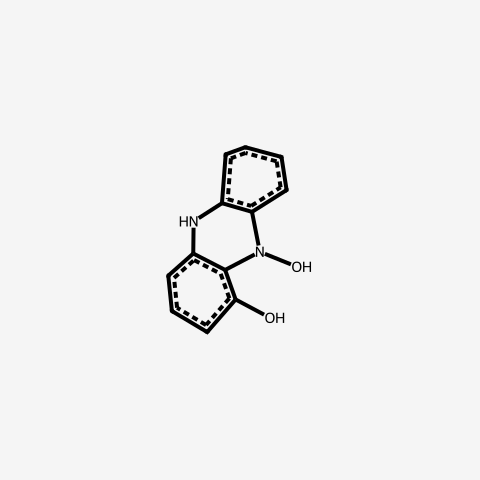 Oc1cccc2c1N(O)c1ccccc1N2